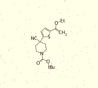 C=C(OCC)c1ccc(C2(C#N)CCN(C(=O)OC(C)(C)C)CC2)s1